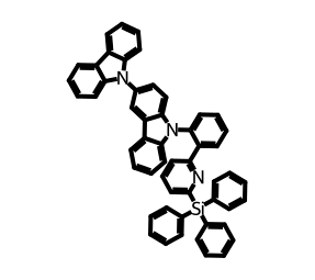 c1ccc([Si](c2ccccc2)(c2ccccc2)c2cccc(-c3ccccc3-n3c4ccccc4c4cc(-n5c6ccccc6c6ccccc65)ccc43)n2)cc1